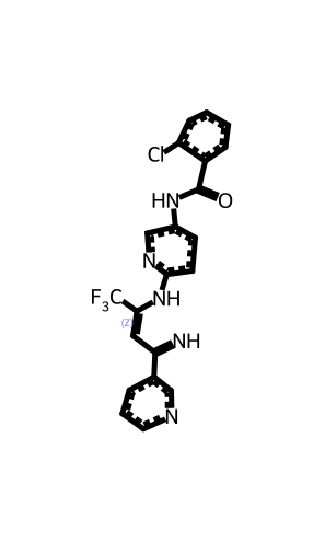 N=C(/C=C(\Nc1ccc(NC(=O)c2ccccc2Cl)cn1)C(F)(F)F)c1cccnc1